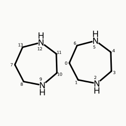 C1CNCCNC1.C1CNCCNC1